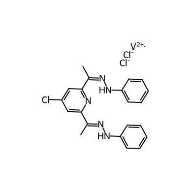 CC(=NNc1ccccc1)c1cc(Cl)cc(C(C)=NNc2ccccc2)n1.[Cl-].[Cl-].[V+2]